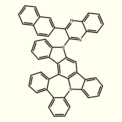 c1ccc2c(c1)-c1ccccc1-n1c3ccccc3c3cc4c(c-2c31)c1ccccc1n4-c1nc2ccccc2nc1-c1ccc2ccccc2c1